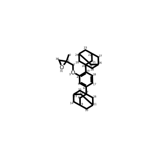 CC1(COc2cc(C34CC5CC(CC(C5)C3)C4)ccc2C23CC4CC(CC(C4)C2)C3)CO1